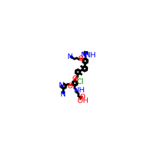 Cc1c(COc2cc(OCc3cncc(C#N)c3)c(CNCCCC(=O)O)cc2Cl)cccc1-c1cccc(-c2ccc(C3=NCCN3)c(OCCCC#N)c2)c1C